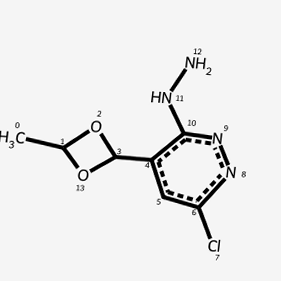 CC1OC(c2cc(Cl)nnc2NN)O1